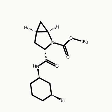 CC[C@H]1CCC[C@@H](NC(=O)[C@@H]2C[C@H]3C[C@H]3N2C(=O)OC(C)(C)C)C1